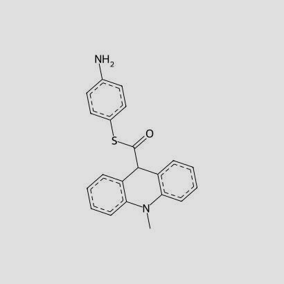 CN1c2ccccc2C(C(=O)Sc2ccc(N)cc2)c2ccccc21